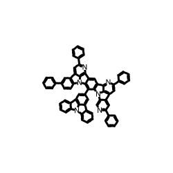 c1ccc(-c2ccc3c(c2)c2cc(-c4ccccc4)nc4c5cc6c7nc(-c8ccccc8)cc8c9cc(-c%10ccccc%10)ncc9n(c6c(-c6cc9c%10ccccc%10n%10c%11ccccc%11c(c6)c9%10)c5n3c24)c87)cc1